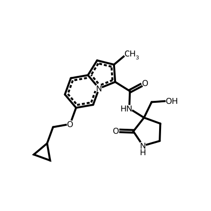 Cc1cc2ccc(OCC3CC3)cn2c1C(=O)NC1(CO)CCNC1=O